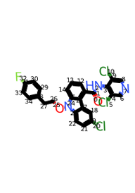 O=C(Nc1c(Cl)cncc1Cl)c1cccc2c1c1cc(Cl)ccc1n2OCCc1ccc(F)cc1